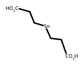 O=C(O)C[CH2][Sn][CH2]CC(=O)O